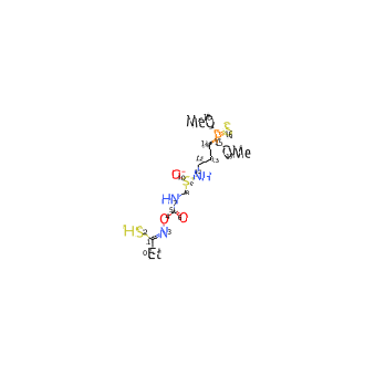 CCC(S)=NOC(=O)NC[S+]([O-])NCCCP(=S)(OC)OC